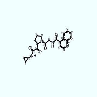 O=C(NC1CC1)C(=O)C1CCCN1C(=O)CNC(=O)c1ccnc2ccccc12